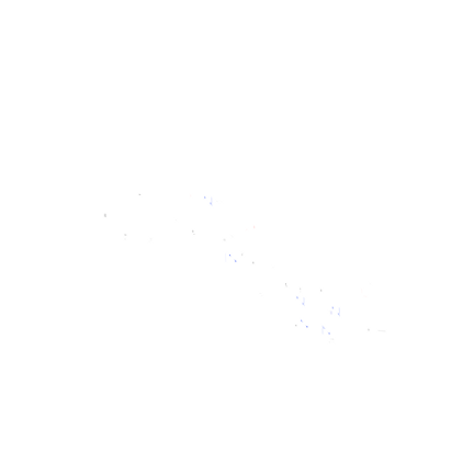 CC(O)N1CN([C@H]2C[C@@H](NC(=O)c3cc(-c4ccccc4)on3)C2)N=N1